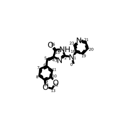 CN(C1=NC(=Cc2ccc3c(c2)OCO3)C(=O)N1)c1cccnc1